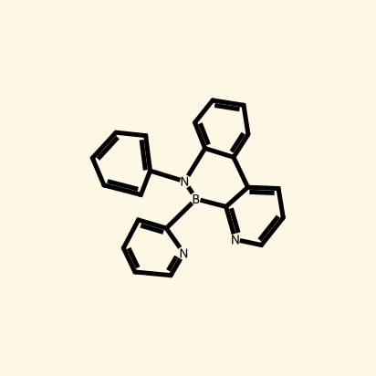 c1ccc(N2B(c3ccccn3)c3ncccc3-c3ccccc32)cc1